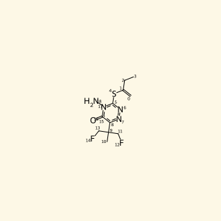 C=C(CC)Sc1nnc(C(C)(CF)CF)c(=O)n1N